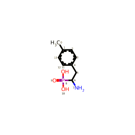 Cc1ccc(CC(N)P(=O)(O)O)cc1